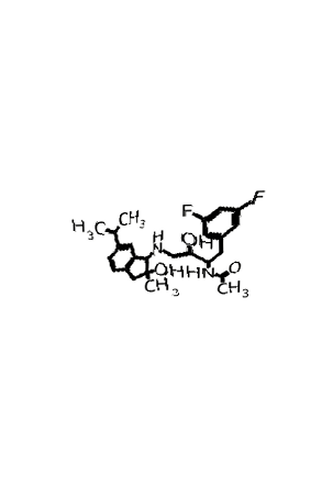 CC(=O)NC(Cc1cc(F)cc(F)c1)C(O)CNC1c2cc(C(C)C)ccc2CC1(C)O